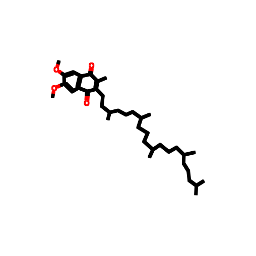 COc1cc2c(cc1OC)C(=O)C(CCC(C)CCCC(C)CCCC(C)CCCC(C)CCCC(C)C)=C(C)C2=O